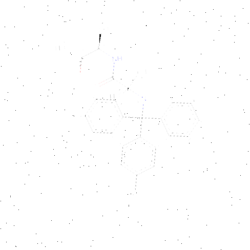 Cc1ccc(C(NC(C)(C)C(=O)N[C@H](C(=O)O)[C@@H](C)O)(c2ccccc2)c2ccccc2)cc1